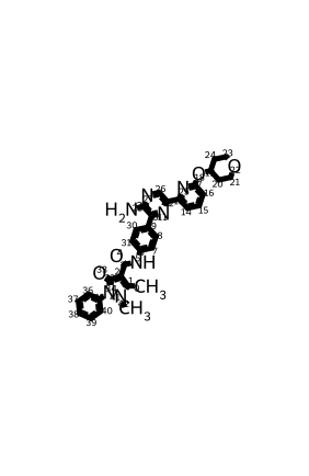 Cc1c(C(=O)Nc2ccc(-c3nc(-c4cccc(OC5CCOCC5)n4)cnc3N)cc2)c(=O)n(-c2ccccc2)n1C